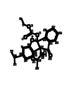 CCOC(=O)OC12Oc3cc(C(C)C)ccc3C1(NC(C)=O)C(=O)c1ccccc12